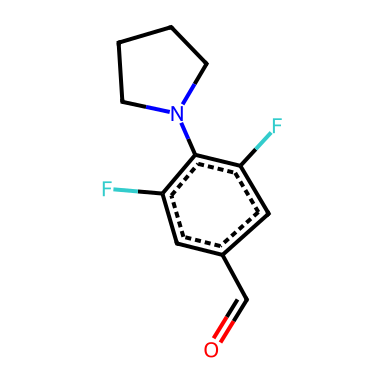 O=Cc1cc(F)c(N2CCCC2)c(F)c1